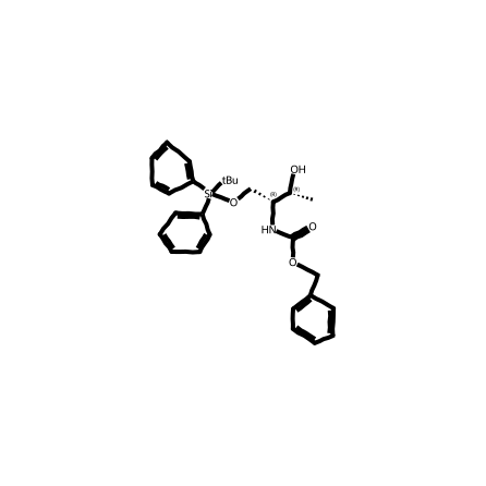 C[C@@H](O)[C@@H](CO[Si](c1ccccc1)(c1ccccc1)C(C)(C)C)NC(=O)OCc1ccccc1